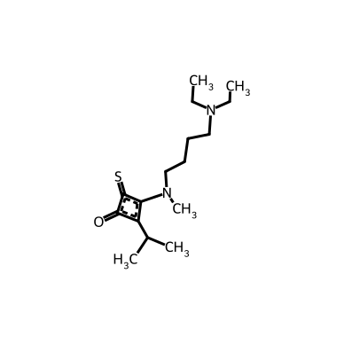 CCN(CC)CCCCN(C)c1c(C(C)C)c(=O)c1=S